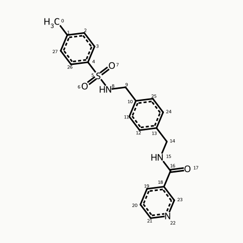 Cc1ccc(S(=O)(=O)NCc2ccc(CNC(=O)c3cccnc3)cc2)cc1